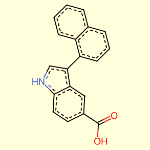 O=C(O)c1ccc2[nH]cc(-c3cccc4ccccc34)c2c1